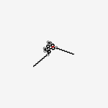 CCCCCCCCCCCCCCOc1ccc(C(c2ccc(OCCCCCCCCCCCCCC)cc2)c2c(OC(=O)O)ccc([N+](=O)[O-])c2-c2ccccc2)cc1